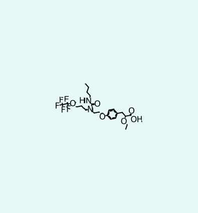 CCCCNC(=O)N(CCCOC(F)(F)C(F)(F)F)CCOc1ccc(CC(OCC)C(=O)O)cc1